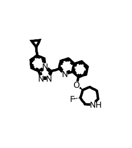 F[C@H]1CNCCC[C@@H]1Oc1cccc2ccc(-c3nnc4ccc(C5CC5)cn34)nc12